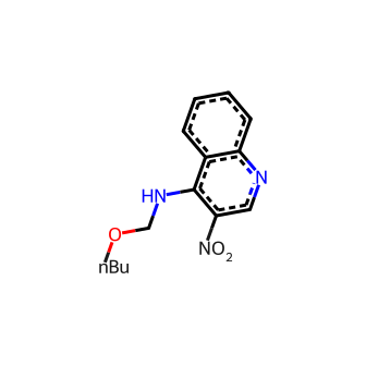 CCCCOCNc1c([N+](=O)[O-])cnc2ccccc12